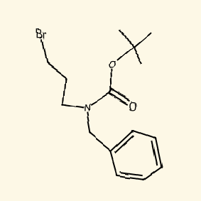 CC(C)(C)OC(=O)N(CCCBr)Cc1ccccc1